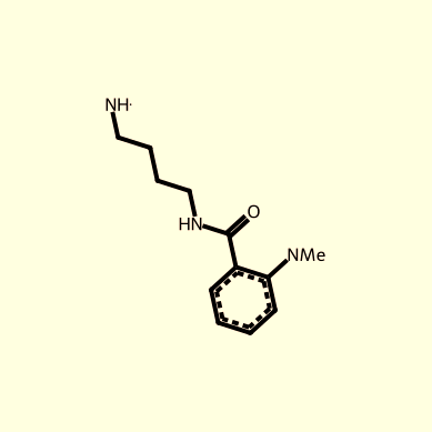 CNc1ccccc1C(=O)NCCCC[NH]